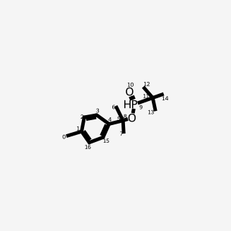 Cc1ccc(C(C)(C)O[PH](=O)C(C)(C)C)cc1